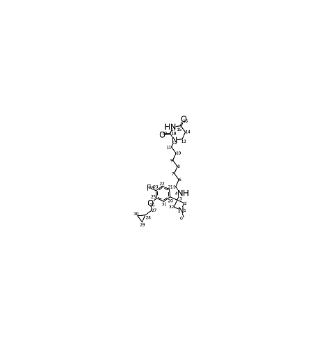 CN1CC(NCCCCCCCN2CCC(=O)NC2=O)(c2ccc(F)c(OCC3CC3)c2)C1